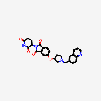 O=C1CCC(N2C(=O)c3ccc(OC4CCN(Cc5ccc6ncccc6c5)C4)cc3C2=O)C(=O)N1